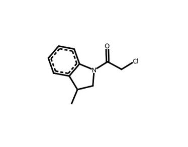 CC1CN(C(=O)CCl)c2ccccc21